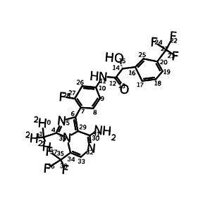 [2H]C([2H])([2H])c1nc(-c2ccc(NC(=O)[C@H](O)c3cccc(C(F)(F)F)c3)cc2F)c2c(N)ncc(C(F)(F)F)n12